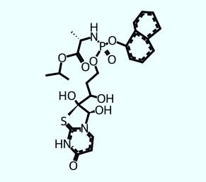 CC(C)OC(=O)[C@H](C)N[P@@](=O)(OCCC(O)[C@@](C)(O)[C@@H](O)n1ccc(=O)[nH]c1=S)Oc1cccc2ccccc12